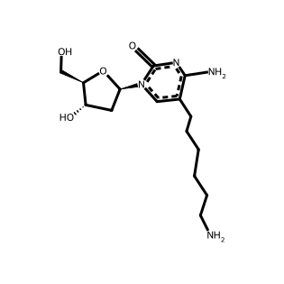 NCCCCCCc1cn([C@H]2C[C@H](O)[C@@H](CO)O2)c(=O)nc1N